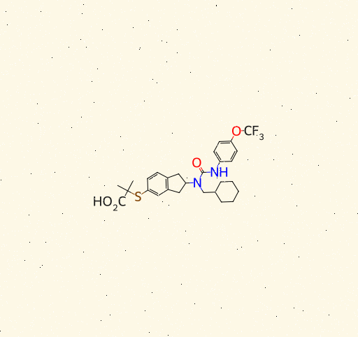 CC(C)(Sc1ccc2c(c1)CC(N(CC1CCCCC1)C(=O)Nc1ccc(OC(F)(F)F)cc1)C2)C(=O)O